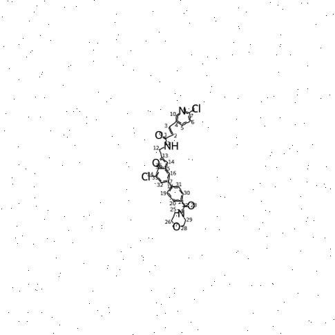 O=C(C=Cc1ccc(Cl)nc1)NCc1cc2cc(-c3ccc(C(=O)N4CCOCC4)cc3)cc(Cl)c2o1